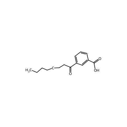 CCCCCCCC(=O)c1cc[c]c(C(=O)O)c1